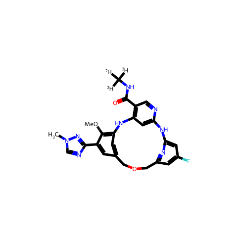 [2H]C([2H])([2H])NC(=O)c1cnc2cc1Nc1cc(cc(-c3ncn(C)n3)c1OC)COCc1cc(F)cc(n1)N2